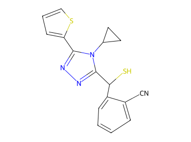 N#Cc1ccccc1C(S)c1nnc(-c2cccs2)n1C1CC1